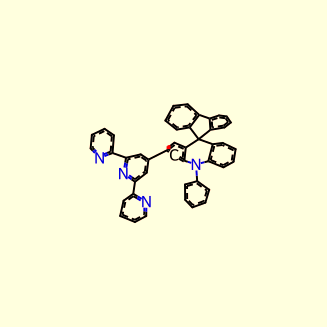 c1ccc(N2c3ccccc3C3(c4ccccc4-c4ccccc43)c3ccc(-c4cc(-c5ccccn5)nc(-c5ccccn5)c4)cc32)cc1